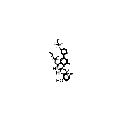 CCOC(=O)C[C@H](NC(=O)Nc1c(O)ccn(C)c1=O)c1cc(C)cc(-c2cccc(OC(F)(F)F)c2)c1